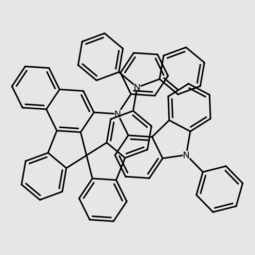 c1ccc(N(c2ccccc2)c2ccc3c(c2)C2(c4ccccc4-3)c3ccccc3-c3c2c(N(c2ccccc2)c2cccc4c2c2ccccc2n4-c2ccccc2)cc2ccccc32)cc1